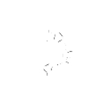 [2H]C([2H])(C(=O)CCc1ccc(O)c(OC)c1)C(=O)C([2H])([2H])C([2H])([2H])c1ccc(O)c(OC)c1